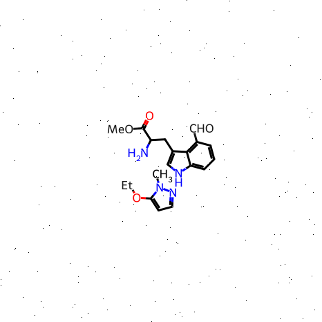 CCOc1ccnn1C.COC(=O)C(N)Cc1c[nH]c2cccc(C=O)c12